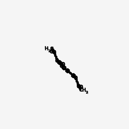 C=CC(=O)OCCCCCCOc1ccc(C#Cc2ccc(C3CCC(OC(=O)c4ccc(OCCCCCCOC(=O)C=C)cc4)CC3)cc2)cc1